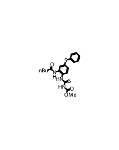 CCCCC(=O)Nc1cc(Sc2ccccc2)ccc1NC(=S)NC(=O)OC